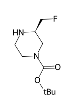 CC(C)(C)OC(=O)N1CCN[C@@H](CF)C1